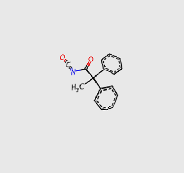 CC(C(=O)N=C=O)(c1ccccc1)c1ccccc1